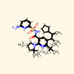 CC(c1cc(C(=O)NS(=O)(=O)c2cccc(N)n2)c(N2C[C@@H](C)CC2(C)C)nc1C(C)(C)C)C(C)C1CCCC1